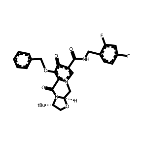 CC(C)(C)[C@H]1CO[C@@H]2Cn3cc(C(=O)NCc4ccc(F)cc4F)c(=O)c(OCc4ccccc4)c3C(=O)N21